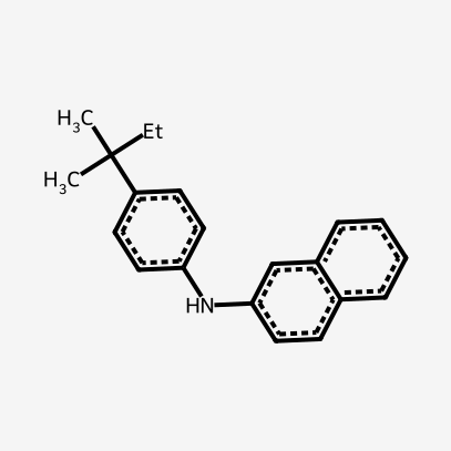 CCC(C)(C)c1ccc(Nc2ccc3ccccc3c2)cc1